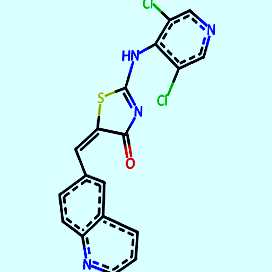 O=C1N=C(Nc2c(Cl)cncc2Cl)SC1=Cc1ccc2ncccc2c1